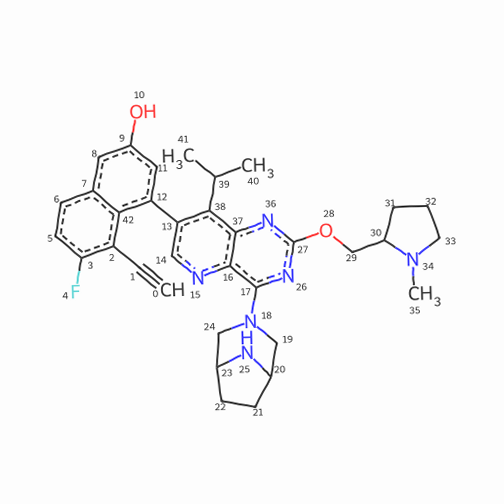 C#Cc1c(F)ccc2cc(O)cc(-c3cnc4c(N5CC6CCC(C5)N6)nc(OCC5CCCN5C)nc4c3C(C)C)c12